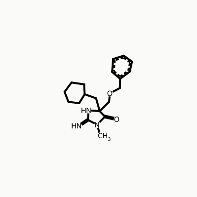 CN1C(=N)NC(COCc2ccccc2)(CC2CCCCC2)C1=O